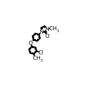 Cc1ccc(Oc2ccc(-n3ccn(C)c3=O)cc2)cc1Cl